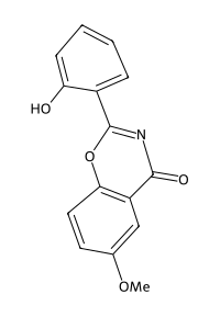 COc1ccc2oc(-c3ccccc3O)nc(=O)c2c1